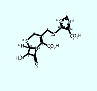 NC1C(=O)N2C(C(=O)O)=C(CSc3scnc3C(=O)O)CS[C@@H]12